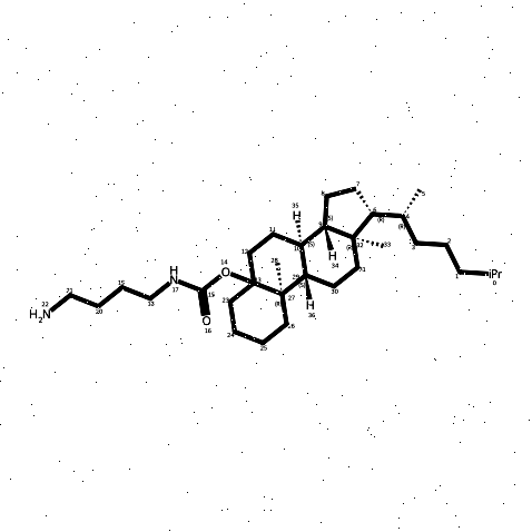 CC(C)CCC[C@@H](C)[C@H]1CC[C@H]2[C@@H]3CCC4(OC(=O)NCCCCN)CCCC[C@]4(C)[C@H]3CC[C@]12C